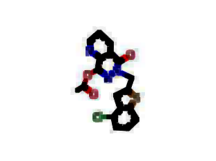 CC(=O)Oc1nn(Cc2cc3c(Cl)cccc3s2)c(=O)c2cccnc12